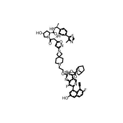 C#Cc1c(F)ccc2cc(O)cc(-c3ncc4c(N5CC6CCC(C5)N6C(=O)OC(C)(C)C)nc(OCCN5CCC6(CC5)CN(c5cc([C@H](C(=O)N7C[C@H](O)C[C@H]7C(=O)N[C@@H](C)c7ccc(-c8scnc8C)cc7)C(C)C)on5)C6)nc4c3F)c12